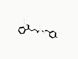 O=C(CCc1c[nH]c2ccccc12)N/N=C/c1ccc(F)cc1